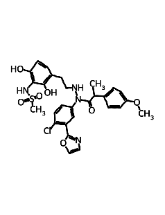 COc1ccc(C(C)C(=O)N(NCCc2ccc(O)c(NS(C)(=O)=O)c2O)c2ccc(Cl)c(-c3ncco3)c2)cc1